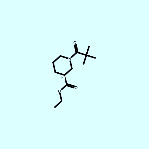 CCOC(=O)[C@H]1CCCN(C(=O)C(C)(C)C)C1